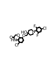 O=C1COc2c(OCC3(O)CCN(c4c(F)cc(Cl)cc4F)CC3)ccc(Cl)c2N1